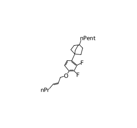 CCCC=CCOc1ccc(C23CCC(CCCCC)(CC2)CC3)c(F)c1F